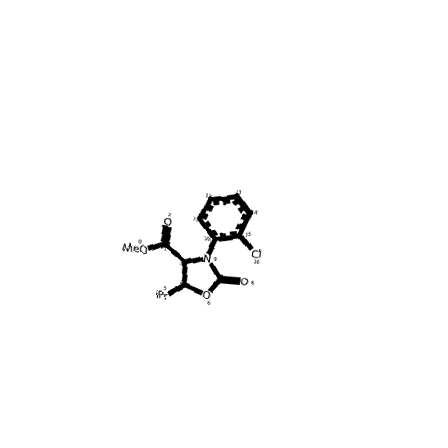 COC(=O)C1C(C(C)C)OC(=O)N1c1ccccc1Cl